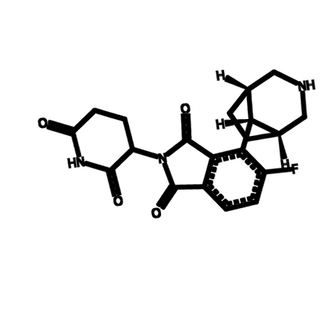 O=C1CCC(N2C(=O)c3ccc(F)c([C@@H]4[C@@H]5CC[C@H]4CNC5)c3C2=O)C(=O)N1